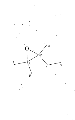 CCC1(C)OC1(C)C